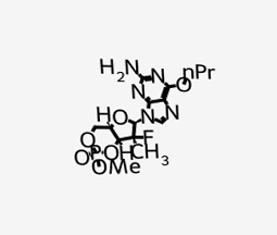 CCCOc1nc(N)nc2c1ncn2[C@@H]1O[C@@H]2COP(=O)(OC)O[C@H]2[C@@]1(C)F